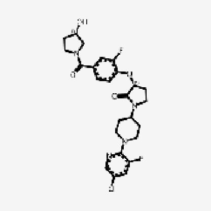 O=C(c1ccc(O[C@H]2CCN(C3CCN(c4ncc(Cl)cc4F)CC3)C2=O)c(F)c1)N1CC[C@@H](O)C1